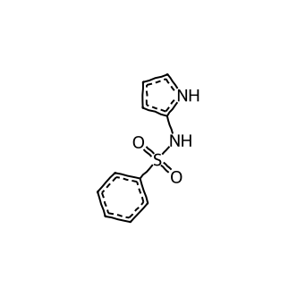 O=S(=O)(Nc1ccc[nH]1)c1ccccc1